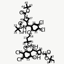 CC(C)(C)OC(=O)N1CC(C(N[S+]([O-])C(C)(C)CCOc2cc(Cl)c(Cl)cc2C(N[S+]([O-])C(C)(C)C)C2CN(C(=O)OC(C)(C)C)C2)c2cc(Cl)c(Cl)cc2O)C1